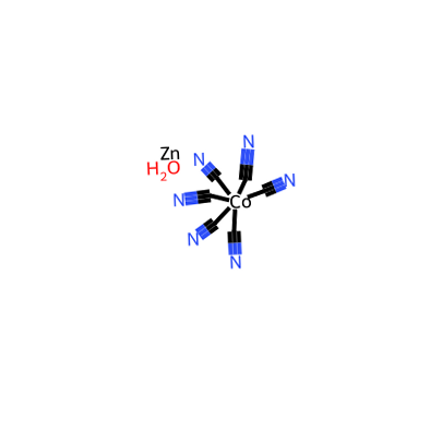 N#[C][Co]([C]#N)([C]#N)([C]#N)([C]#N)[C]#N.O.[Zn]